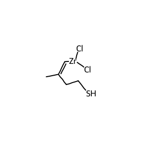 CC(=[CH][Zr]([Cl])[Cl])CCS